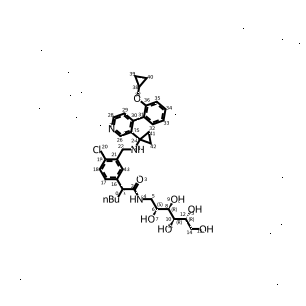 CCCCC(C(=O)NC[C@H](O)[C@@H](O)[C@H](O)[C@H](O)CO)c1ccc(Cl)c(CNC2(c3cnccc3-c3ccccc3OC3CC3)CC2)c1